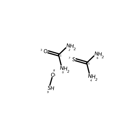 NC(N)=O.NC(N)=S.[O]S